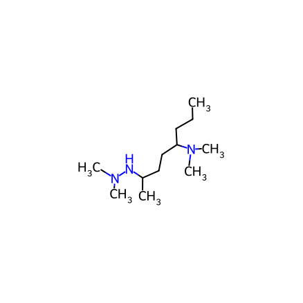 CCCC(CCC(C)NN(C)C)N(C)C